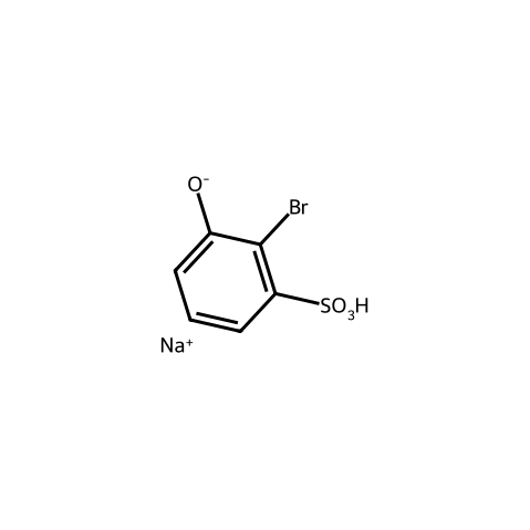 O=S(=O)(O)c1cccc([O-])c1Br.[Na+]